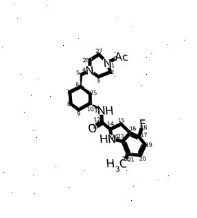 CC(=O)N1CCN(C[C@@H]2CCC[C@H](NC(=O)C3Cc4c(F)ccc(C)c4N3)C2)CC1